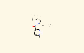 COC[C@H]1CC[C@H](COC)N1C(=O)c1ccc(C)nc1